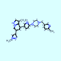 CCOC(=O)c1cnn2cc(-c3cnn(C)c3)cc(-c3ccc(N4CCN(Cc5ccc(C)nc5)CC4)nc3)c12